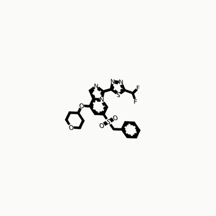 O=S(=O)(Cc1ccccc1)c1cc(OC2CCOCC2)c2cnc(-c3nnc(C(F)F)s3)n2c1